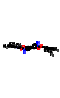 CC(C)=CCC/C(C)=C/COC(=O)NC1CCC2(CC1)C1C2C12CCC(NC(=O)OC/C=C(\C)CCC=C(C)C)CC2